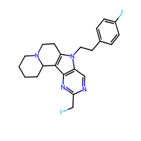 FCc1ncc2c(n1)c1c(n2CCc2ccc(F)cc2)CCN2CCCCC12